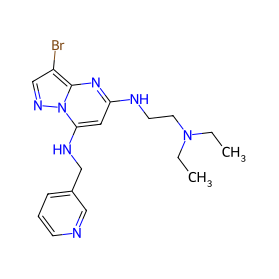 CCN(CC)CCNc1cc(NCc2cccnc2)n2ncc(Br)c2n1